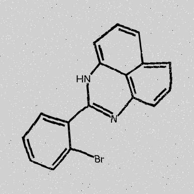 Brc1ccccc1C1=Nc2cccc3cccc(c23)N1